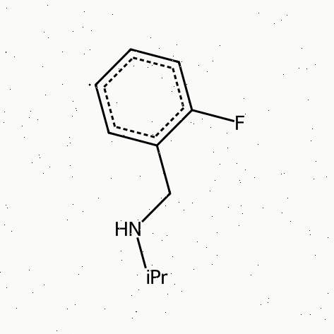 CC(C)NCc1c[c]ccc1F